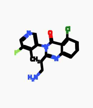 Cc1c(F)cncc1-n1c(CCN)nc2cccc(Cl)c2c1=O